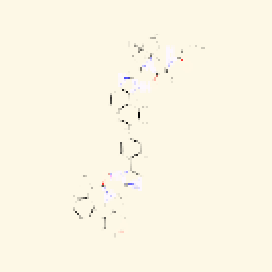 COC(=O)N[C@H](C(=O)N1[C@H](c2nc3ccc4cc(-c5ccc(-c6cnc([C@@H]7C[C@@]8(CCCOC8)CN7C(=O)[C@H](C)c7ccccc7)[nH]6)cc5)ccc4c3[nH]2)C[C@@H]2CCC[C@@H]21)C(C)C